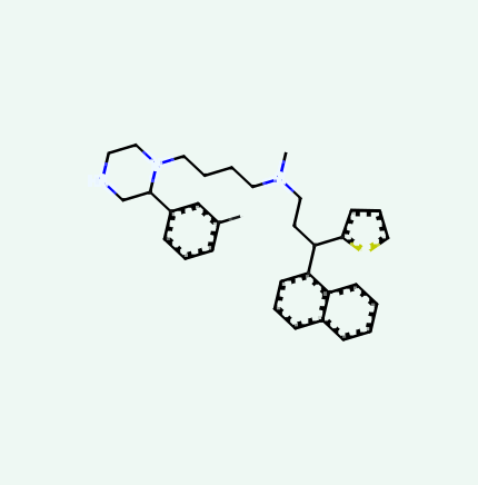 CN(CCCCN1CCNCC1c1cccc(C(F)(F)F)c1)CCC(c1cccs1)c1cccc2ccccc12